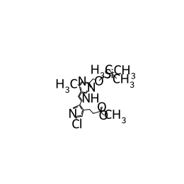 COC(=O)CCc1cc(Cl)ncc1-c1cc2c(C)nc(COCC[Si](C)(C)C)nc2[nH]1